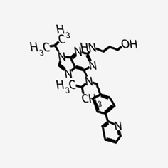 CC(C)N(Cc1ccc(-c2ccccn2)cc1)c1nc(NCCCO)nc2c1ncn2C(C)C